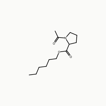 CCCCCCOC(=O)C1CCCN1C(C)=O